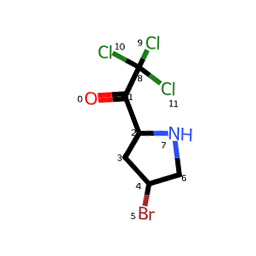 O=C(C1CC(Br)CN1)C(Cl)(Cl)Cl